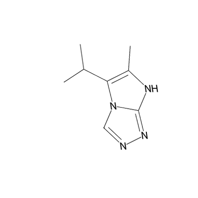 Cc1[nH]c2nncn2c1C(C)C